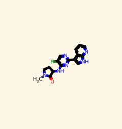 CN1CCC(Nc2nc(-c3c[nH]c4ncccc34)ncc2F)C1=O